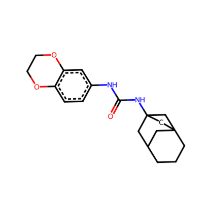 O=C(Nc1ccc2c(c1)OCCO2)NC12CC3CCCC(C3)(C1)C2